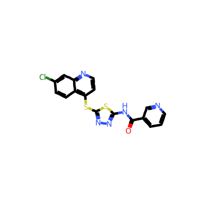 O=C(Nc1nnc(Sc2ccnc3cc(Cl)ccc23)s1)c1cccnc1